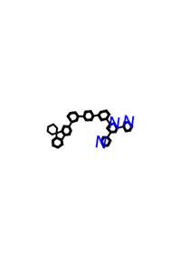 c1cncc(-c2cc(-c3cccnc3)nc(-c3cccc(-c4ccc(-c5cccc(-c6ccc7c(c6)C6(CCCCC6)c6ccccc6-7)c5)cc4)c3)c2)c1